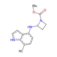 CC(C)(C)OC(=O)N1CCC1Nc1ccc(C#N)c2[nH]ccc12